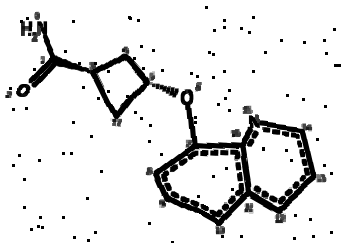 NC(=O)[C@H]1C[C@H](Oc2cccc3cccnc23)C1